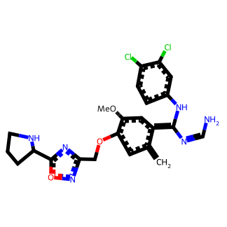 C=c1cc(OCc2noc(C3CCCN3)n2)c(OC)c/c1=C(/N=C\N)Nc1ccc(Cl)c(Cl)c1